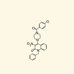 O=C(c1ccc(Cl)cc1)N1CCN(c2c([N+](=O)[O-])c(=O)n(Cc3ccccc3)c3ccccc23)CC1